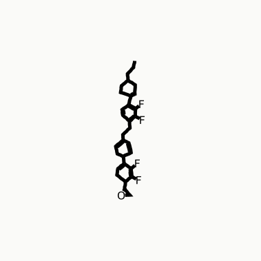 CCCC1CC=C(c2ccc(CCC3=CCC(C4=CCC(C5CO5)C(F)=C4F)C=C3)c(F)c2F)CC1